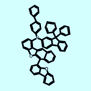 c1ccc(-c2ccc(N(c3ccc4c(c3)C(c3ccccc3)(c3ccccc3)c3ccccc3-4)c3cccc4oc5c(-c6cccc7c6oc6ccccc67)c6ccccc6cc5c34)cc2)cc1